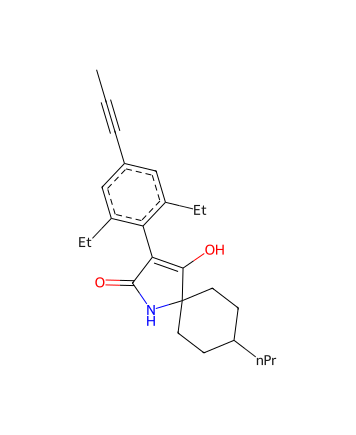 CC#Cc1cc(CC)c(C2=C(O)C3(CCC(CCC)CC3)NC2=O)c(CC)c1